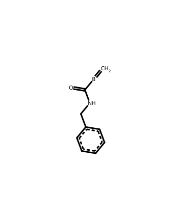 C=BC(=O)NCc1ccccc1